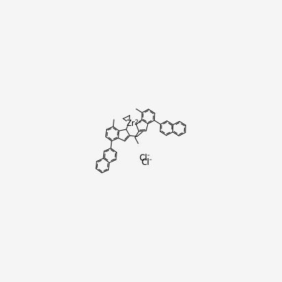 CCC1=Cc2c(-c3ccc4ccccc4c3)ccc(C)c2[CH]1[Zr+2]1([CH]2C(CC)=Cc3c(-c4ccc5ccccc5c4)ccc(C)c32)[CH2][CH2]1.[Cl-].[Cl-]